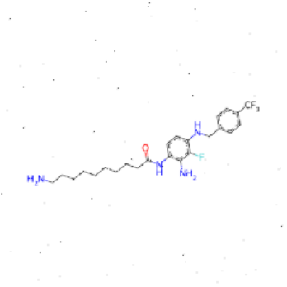 NCCCCCCCCCC(=O)Nc1ccc(NCc2ccc(C(F)(F)F)cc2)c(F)c1N